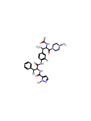 CCC(=O)NC(C(=O)N1CCN(C)CC1)C(C)c1ccc(NC(=O)C(NC(=O)c2ccnn2CC)C(CC)c2ccccc2)c(F)c1